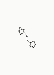 [c]1occc1OCc1cccs1